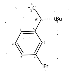 CC(C)c1cccc([C@@H](C(C)(C)C)C(F)(F)F)c1